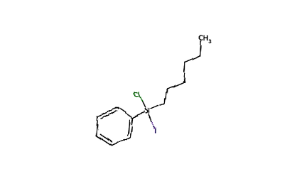 CCCCCC[Si](Cl)(I)c1ccccc1